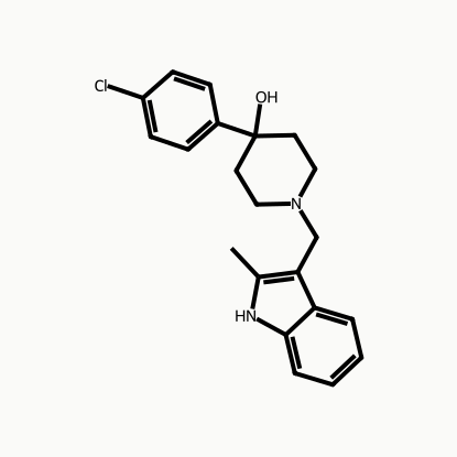 Cc1[nH]c2ccccc2c1CN1CCC(O)(c2ccc(Cl)cc2)CC1